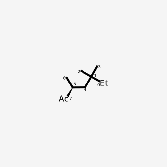 CCC(C)(C)C[C@H](C)C(C)=O